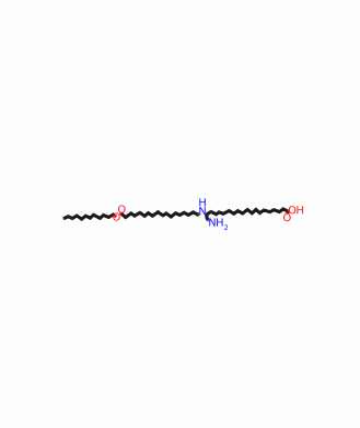 CCCCCCCCCCCCOC(=O)CCCCCCCCCCCCCCCCCNC(CN)CCCCCCCCCCCCCCCCCC(=O)O